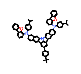 CC(C)c1ccc(N(c2ccc3cc4c5cc(-c6ccc(C(C)(C)C)cc6)cc6c7cc8ccc(N(c9ccc(C(C)C)cc9)c9cccc%10c9oc9ccccc9%10)cc8cc7n(c4cc3c2)c56)c2cccc3c2oc2ccccc23)cc1